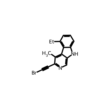 CCc1cccc2[nH]c3cnc(C#CBr)c(C)c3c12